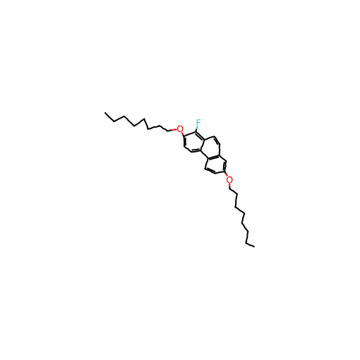 CCCCCCCCOc1ccc2c(ccc3c(F)c(OCCCCCCCC)ccc32)c1